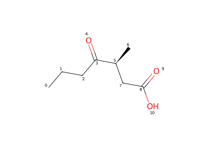 CCCC(=O)[C@@H](C)CC(=O)O